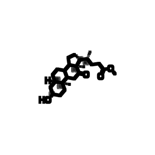 COC(=O)CC[C@@H](C)[C@H]1CCC2C3CC[C@@H]4C[C@H](O)CC[C@]4(C)C3CC(=O)[C@@]21C